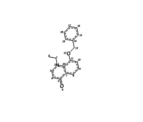 CCn1ccc(=O)c2cccc(OCc3ccccc3)c21